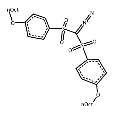 CCCCCCCCOc1ccc(S(=O)(=O)C(=[N+]=[N-])S(=O)(=O)c2ccc(OCCCCCCCC)cc2)cc1